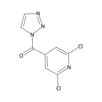 O=C(c1cc(Cl)nc(Cl)c1)n1ccnn1